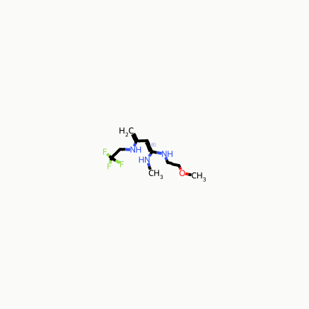 C=C(/C=C(\NC)NCCOC)NCC(F)(F)F